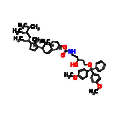 CCC(CC(CC)C1CCC2C3CC=C4C[C@H](OC(=O)NCCC(O)CCOC(c5ccccc5)(c5ccc(OC)cc5)c5ccc(OC)cc5)CC[C@@]4(C)C3CC[C@@]12C)C(C)C